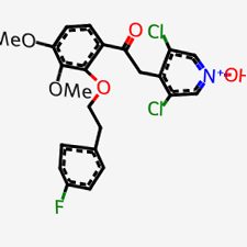 COc1ccc(C(=O)Cc2c(Cl)c[n+](O)cc2Cl)c(OCCc2ccc(F)cc2)c1OC